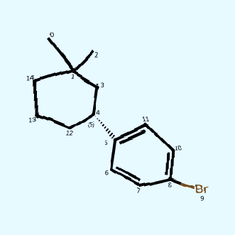 CC1(C)[CH][C@H](c2ccc(Br)cc2)CCC1